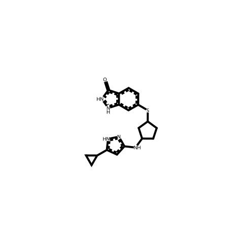 O=c1[nH][nH]c2cc(SC3CCC(Nc4cc(C5CC5)[nH]n4)C3)ccc12